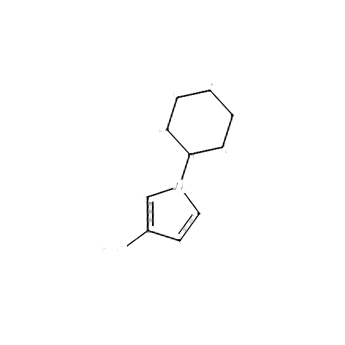 Cc1ccn(C2CCCCC2)c1